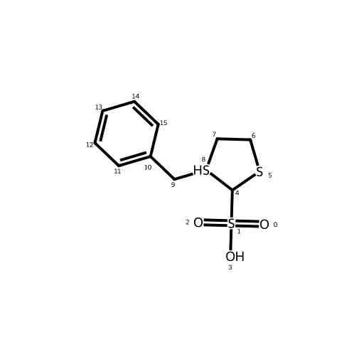 O=S(=O)(O)C1SCC[SH]1Cc1ccccc1